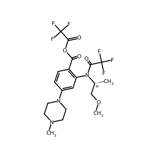 COC[C@@H](C)N(C(=O)C(F)(F)F)c1cc(N2CCN(C)CC2)ccc1C(=O)OC(=O)C(F)(F)F